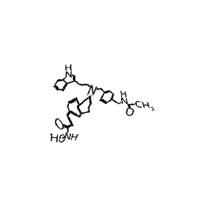 CC(=O)NCc1ccc(CN(CCc2c[nH]c3ccccc23)C2CCc3cc(C=CC(=O)NO)ccc32)cc1